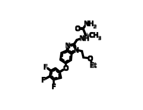 CCOCCn1c(CN[C@@H](C)C(N)=O)nc2ccc(Oc3cc(F)c(F)c(F)c3)cc21